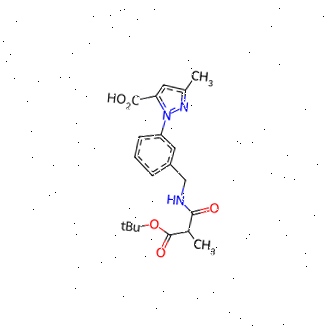 Cc1cc(C(=O)O)n(-c2cccc(CNC(=O)C(C)C(=O)OC(C)(C)C)c2)n1